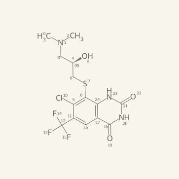 CN(C)C[C@@H](O)CSc1c(Cl)c(C(F)(F)F)cc2c(=O)[nH]c(=O)[nH]c12